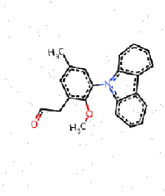 COc1c(CC=O)cc(C)cc1-n1c2ccccc2c2ccccc21